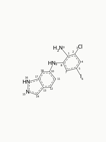 Nc1c(Cl)cc(I)cc1Nc1ccc2cn[nH]c2c1